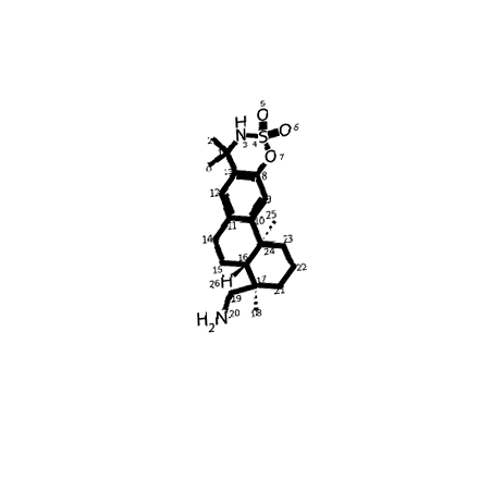 CC1(C)NS(=O)(=O)Oc2cc3c(cc21)CC[C@H]1[C@](C)(CN)CCC[C@]31C